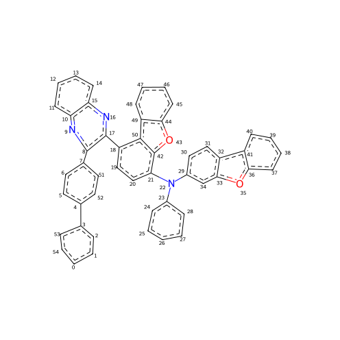 c1ccc(-c2ccc(-c3nc4ccccc4nc3-c3ccc(N(c4ccccc4)c4ccc5c(c4)oc4ccccc45)c4oc5ccccc5c34)cc2)cc1